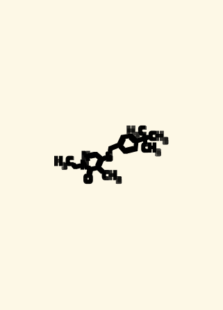 CCn1ncc(SCc2ccc(C(C)(C)C)cc2)c(C)c1=O